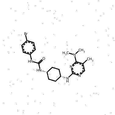 Cc1cnc(N[C@H]2CC[C@@H](NC(=O)Nc3ccc(Br)cc3)CC2)nc1N(C)C